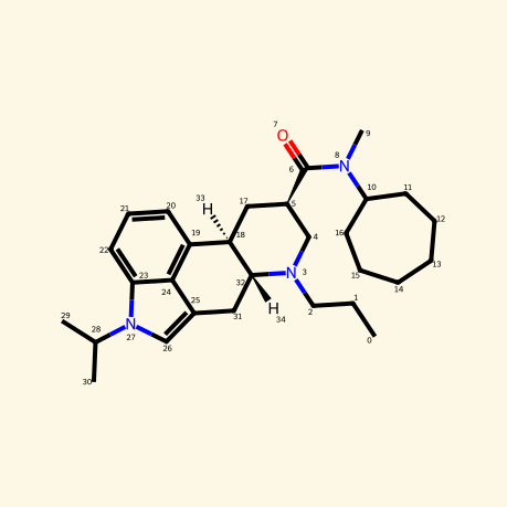 CCCN1C[C@H](C(=O)N(C)C2CCCCCC2)C[C@@H]2c3cccc4c3c(cn4C(C)C)C[C@H]21